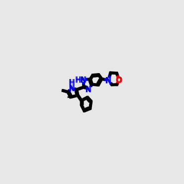 Cc1[c]c(-c2ccccc2)c(-c2nc3cc(N4CCOCC4)ccc3[nH]2)[nH]1